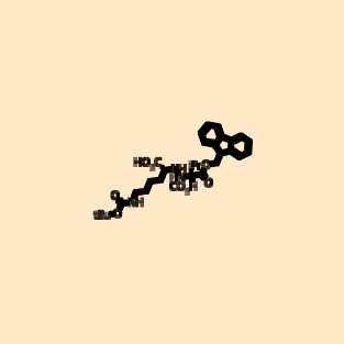 CC(C)[C@](NN[C@@H](CCCCNC(=O)OC(C)(C)C)C(=O)O)(C(=O)O)C(=O)OCC1c2ccccc2-c2ccccc21